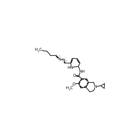 CCCC/C=N/N=C/C1=CC=CC(NC(=O)c2cc3c(cc2OC)CCN(C2CC2)C3)N1